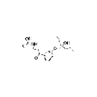 CCCC(O)(CCC)COc1cccc(C(=O)CCNC(=O)O)c1